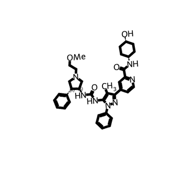 COCCN1C[C@@H](NC(=O)Nc2c(C)c(-c3ccnc(C(=O)N[C@H]4CC[C@@H](O)CC4)c3)nn2-c2ccccc2)[C@H](c2ccccc2)C1